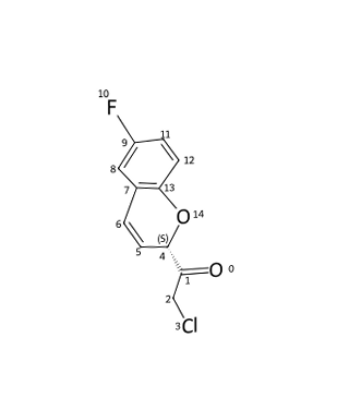 O=C(CCl)[C@@H]1C=Cc2cc(F)ccc2O1